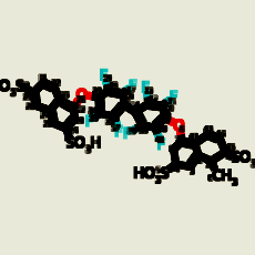 CC1C2=CC(S(=O)(=O)O)CC(Oc3c(F)c(F)c(-c4c(F)c(F)c(Oc5cc(S(=O)(=O)O)cc6cc(S(=O)(=O)O)ccc56)c(F)c4F)c(F)c3F)=C2C=CC1S(=O)(=O)O